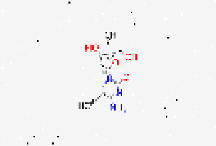 C#Cc1cn([C@H]2C[C@H](O)[C@@](C#C)(CO)O2)c(=O)nc1N